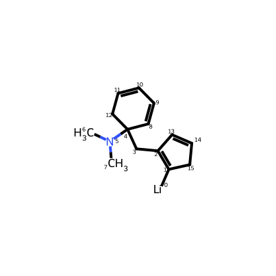 [Li][C]1=C(CC2(N(C)C)C=CC=CC2)C=CC1